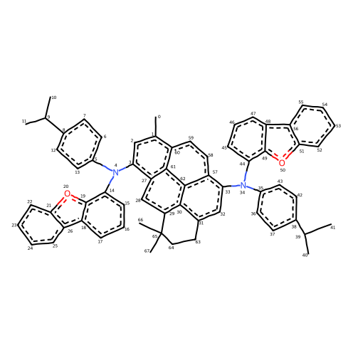 Cc1cc(N(c2ccc(C(C)C)cc2)c2cccc3c2oc2ccccc23)c2cc3c4c(cc(N(c5ccc(C(C)C)cc5)c5cccc6c5oc5ccccc56)c5ccc1c2c54)CCC3(C)C